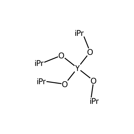 CC(C)[O][Y]([O]C(C)C)([O]C(C)C)[O]C(C)C